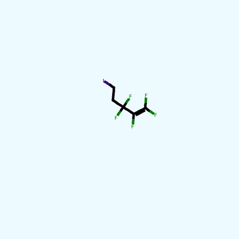 FC(F)=C(F)C(F)(F)CCI